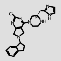 Clc1nc2c(c(N3CCN[C@@H](Cc4ncc[nH]4)C3)n1)CN(C1CCc3ccccc31)C2